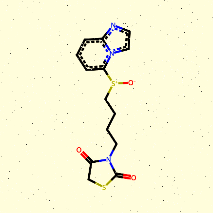 O=C1CSC(=O)N1CCCC[S+]([O-])c1cccc2nccn12